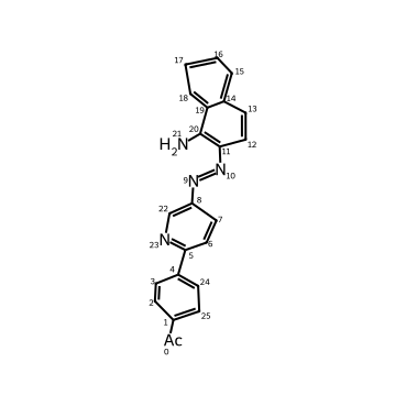 CC(=O)c1ccc(-c2ccc(N=Nc3ccc4ccccc4c3N)cn2)cc1